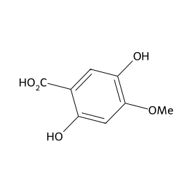 COc1cc(O)c(C(=O)O)cc1O